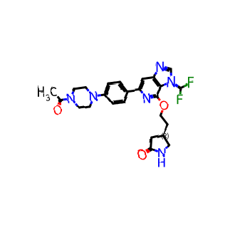 CC(=O)N1CCN(c2ccc(-c3cc4ncn(C(F)F)c4c(OCC[C@H]4CNC(=O)C4)n3)cc2)CC1